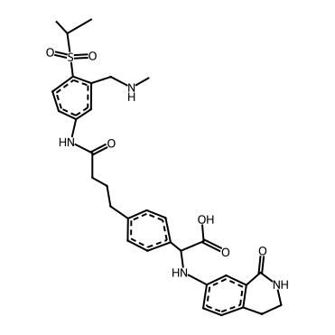 CNCc1cc(NC(=O)CCCc2ccc(C(Nc3ccc4c(c3)C(=O)NCC4)C(=O)O)cc2)ccc1S(=O)(=O)C(C)C